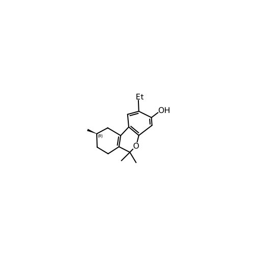 CCc1cc2c(cc1O)OC(C)(C)C1=C2C[C@H](C)CC1